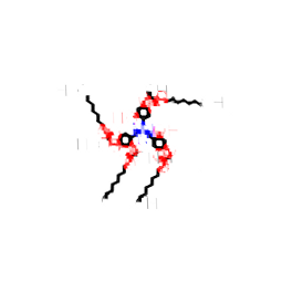 CCCCCCCCOC(=O)C(C)Oc1ccc(-c2nc(-c3ccc(OC(C)C(=O)OCCCCCCCC)cc3O)nc(-c3ccc(OC(C)C(=O)OCCCCCCCC)cc3OC(C)C(=O)OCCCCCCCC)n2)c(O)c1